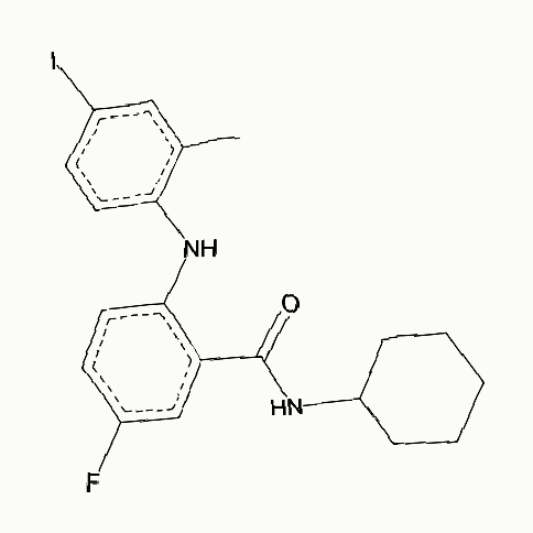 Cc1cc(I)ccc1Nc1ccc(F)cc1C(=O)NC1CCCCC1